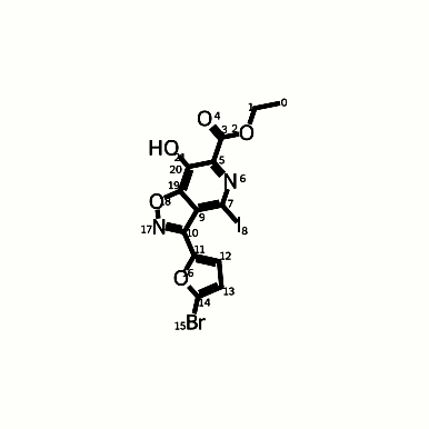 CCOC(=O)c1nc(I)c2c(-c3ccc(Br)o3)noc2c1O